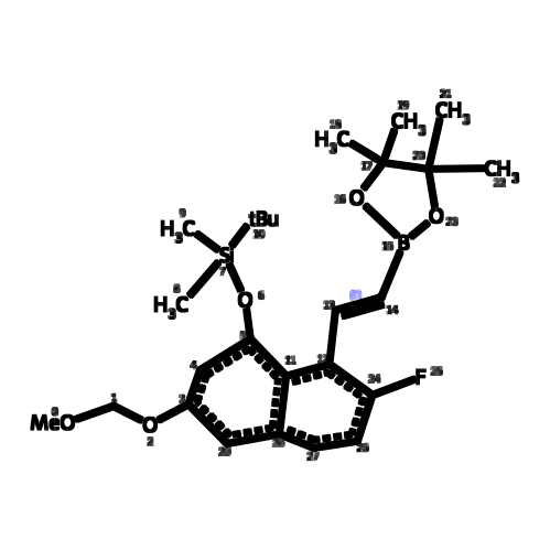 COCOc1cc(O[Si](C)(C)C(C)(C)C)c2c(/C=C/B3OC(C)(C)C(C)(C)O3)c(F)ccc2c1